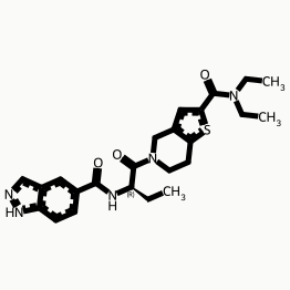 CC[C@@H](NC(=O)c1ccc2[nH]ncc2c1)C(=O)N1CCc2sc(C(=O)N(CC)CC)cc2C1